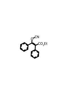 CCOC(=O)C(=C(OC#N)c1ccccc1)c1ccccc1